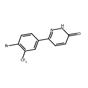 O=c1ccc(-c2ccc(Br)c(C(F)(F)F)c2)n[nH]1